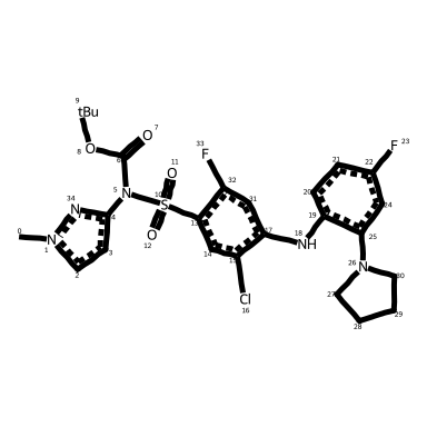 Cn1ccc(N(C(=O)OC(C)(C)C)S(=O)(=O)c2cc(Cl)c(Nc3ccc(F)cc3N3C[CH]CC3)cc2F)n1